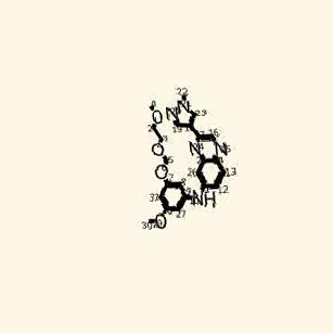 COCCOCOc1cc(Nc2ccc3ncc(C4C=NN(C)C4)nc3c2)cc(OC)c1